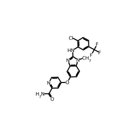 Cn1c(Nc2cc(C(F)(F)F)ccc2Cl)nc2cc(Oc3ccnc(C(N)=O)c3)ccc21